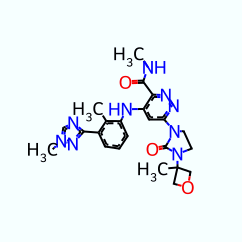 CNC(=O)c1nnc(N2CCN(C3(C)COC3)C2=O)cc1Nc1cccc(-c2ncn(C)n2)c1C